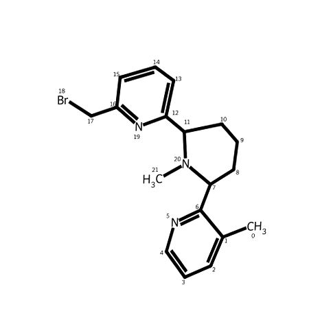 Cc1cccnc1C1CCCC(c2cccc(CBr)n2)N1C